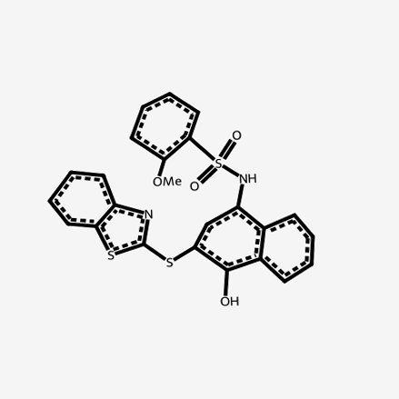 COc1ccccc1S(=O)(=O)Nc1cc(Sc2nc3ccccc3s2)c(O)c2ccccc12